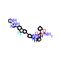 NC(=O)O[C@@H](C(=O)N1[C@@H]2CC[C@H](C2)[C@H]1c1nc2ccc(-c3ccc4c(c3)C(F)(F)c3cc(-c5cnc([C@@H]6CCCN6)[nH]5)ccc3-4)cc2[nH]1)c1ccccc1